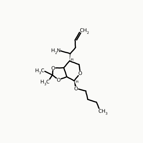 C=CCC(N)[C@@H]1CO[C@@H](OCCCC)C2OC(C)(C)OC21